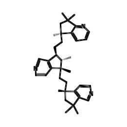 C[C@H]1[C@H](CC[C@@]2(C)CC(C)(C)c3ncccc32)c2cnccc2[C@@]1(C)CC[C@@]1(C)CC(C)(C)c2cnccc21